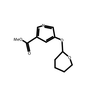 COC(=O)c1cncc(OC2CCCCO2)c1